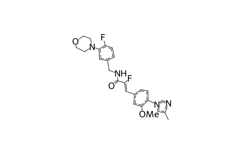 COc1cc(C=C(F)C(=O)NCc2ccc(F)c(N3CCOCC3)c2)ccc1-n1cnc(C)c1